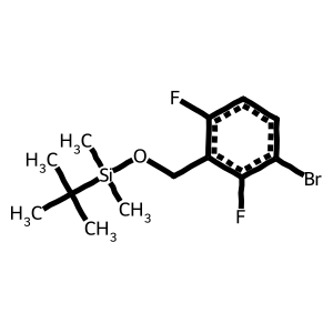 CC(C)(C)[Si](C)(C)OCc1c(F)ccc(Br)c1F